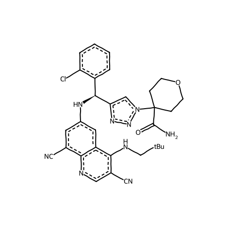 CC(C)(C)CNc1c(C#N)cnc2c(C#N)cc(N[C@H](c3cn(C4(C(N)=O)CCOCC4)nn3)c3ccccc3Cl)cc12